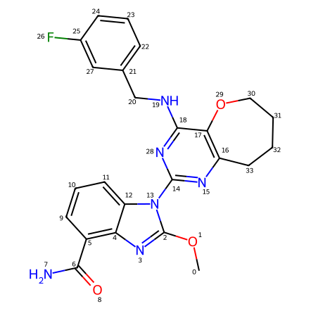 COc1nc2c(C(N)=O)cccc2n1-c1nc2c(c(NCc3cccc(F)c3)n1)OCCCC2